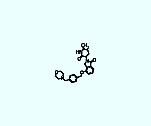 C=C1CCC(N2Cc3c(OCc4ccc(CN5CCOCC5)cc4)cccc3C2=O)C(=O)N1